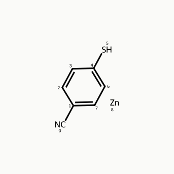 N#Cc1ccc(S)cc1.[Zn]